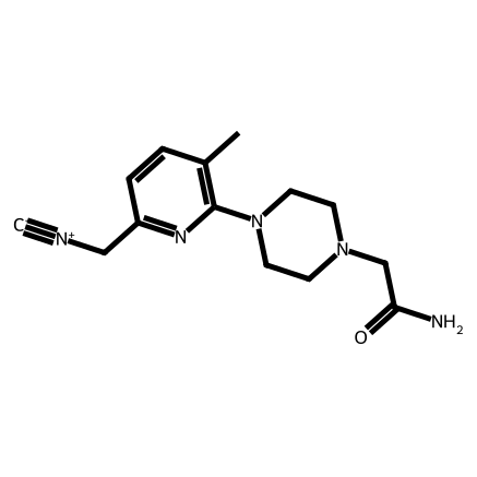 [C-]#[N+]Cc1ccc(C)c(N2CCN(CC(N)=O)CC2)n1